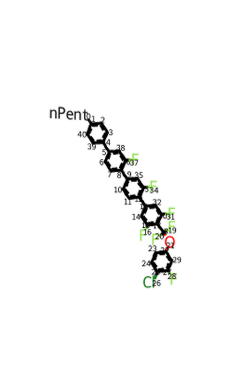 CCCCCc1ccc(-c2ccc(-c3ccc(-c4cc(F)c(C(F)(F)Oc5ccc(Cl)c(F)c5)c(F)c4)c(F)c3)c(F)c2)cc1